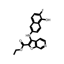 CCOC(=O)c1oc2cnccc2c1Nc1ccc2c(O)c(F)ccc2c1